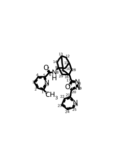 Cc1cccc(C(=O)NC23CC4CC(C2)CC(c2nnc(-c5ccccn5)o2)(C4)C3)n1